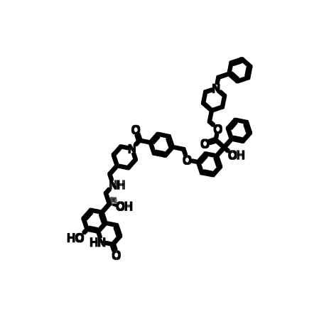 O=C(c1ccc(COc2cccc(C(O)(C(=O)OCC3CCN(Cc4ccccc4)CC3)c3ccccc3)c2)cc1)N1CCC(CNC[C@H](O)c2ccc(O)c3[nH]c(=O)ccc23)CC1